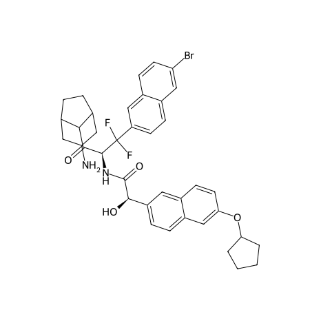 NC1CC2CCC(C1)C2C(=O)[C@H](NC(=O)[C@H](O)c1ccc2cc(OC3CCCC3)ccc2c1)C(F)(F)c1ccc2cc(Br)ccc2c1